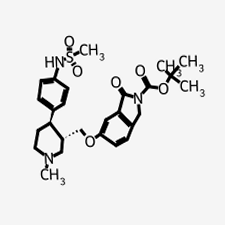 CN1CC[C@@H](c2ccc(NS(C)(=O)=O)cc2)[C@H](COc2ccc3c(c2)C(=O)N(C(=O)OC(C)(C)C)C3)C1